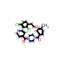 Cc1ccc(C(=O)N2CCN(C(=O)c3ccncc3)CC2)cc1OCCc1ccc(Cl)cc1Cl